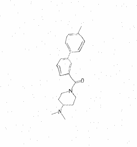 Cc1ccc(-c2cccc(C(=O)N3CCC(N(C)C)CC3)c2)cc1